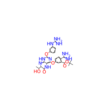 CC(O)C1N=C2NC(Oc3cccc(NC(=N)N)c3)=NC(Oc3ccc(C(=N)N)c(C(=O)OC(C)(C)C)c3)=C2NC1=O